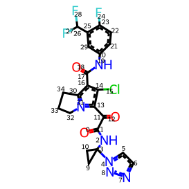 O=C(NC1(n2ccnn2)CC1)C(=O)c1c(Cl)c(C(=O)Nc2ccc(F)c(C(F)F)c2)c2n1CCC2